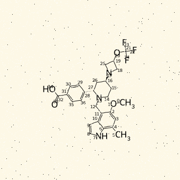 COc1cc(C)c2[nH]ccc2c1CN1CC[C@H](N2CC(OC(F)(F)F)C2)C[C@H]1c1ccc(C(=O)O)cc1